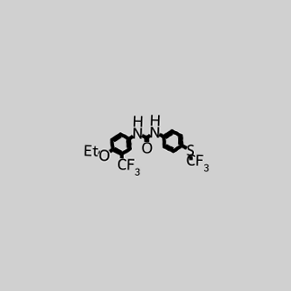 CCOc1ccc(NC(=O)Nc2ccc(SC(F)(F)F)cc2)cc1C(F)(F)F